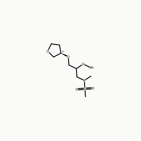 CC(C)OC(CO[C@@H]1CCOC1)CN(C)S(C)(=O)=O